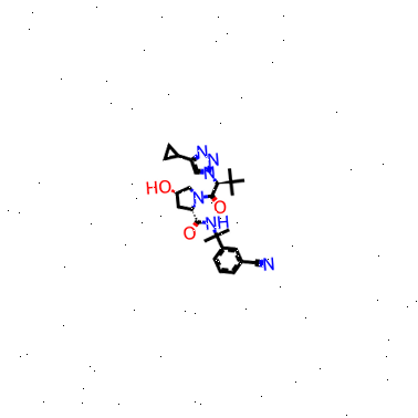 CC(C)(NC(=O)[C@@H]1C[C@@H](O)CN1C(=O)[C@@H](n1cc(C2CC2)nn1)C(C)(C)C)c1cccc(C#N)c1